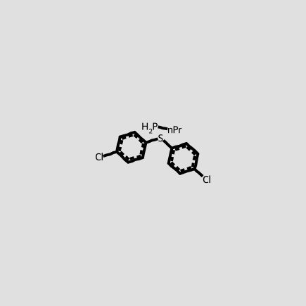 CCCP.Clc1ccc(Sc2ccc(Cl)cc2)cc1